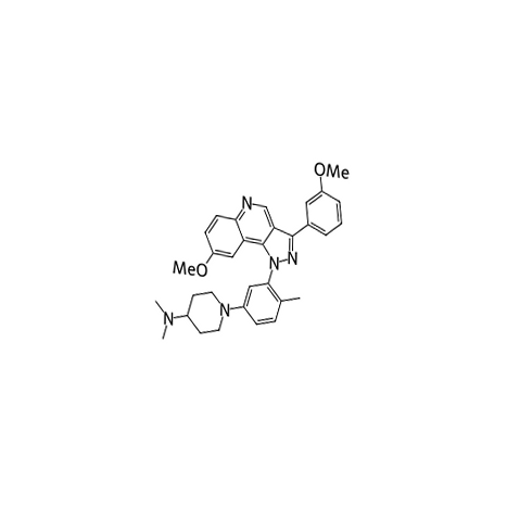 COc1cccc(-c2nn(-c3cc(N4CCC(N(C)C)CC4)ccc3C)c3c2cnc2ccc(OC)cc23)c1